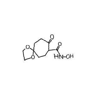 O=C1CCC2(CCC1C(=O)NO)OCCO2